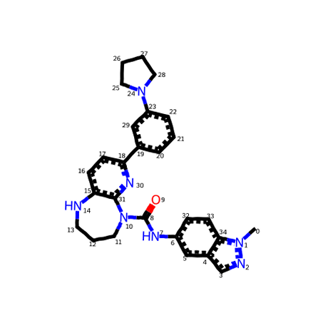 Cn1ncc2cc(NC(=O)N3CCCNc4ccc(-c5cccc(N6CCCC6)c5)nc43)ccc21